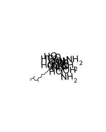 CCC(C)CC(C)CCCCCCCCC(=O)N[C@](C[C@@H](O)[C@@](N)(NCCN)N[C@H](C(=O)O)[C@H](O)CCN)(N[C@@H](CO)C(=O)O)C(=O)O